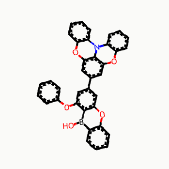 OB1c2ccccc2Oc2cc(-c3cc4c5c(c3)Oc3ccccc3N5c3ccccc3O4)cc(Oc3ccccc3)c21